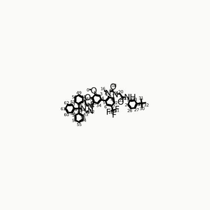 COc1cc(-c2cc(C(F)(F)F)cc3c2n(C)c(=O)n3CC(=O)Nc2cccc(C(C)(C)C)c2)cc(F)c1OCc1nncn1C(c1ccccc1)(c1ccccc1)c1ccccc1